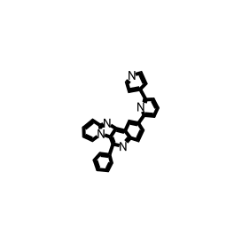 c1ccc(-c2nc3ccc(-c4cccc(-c5ccncc5)n4)cc3c3nc4ccccn4c23)cc1